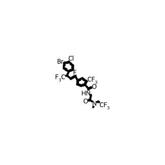 CN(CC(F)(F)F)C(=O)CNC(=O)c1ccc(/C(F)=C/C(c2ccc(Cl)c(Br)c2)C(F)(F)F)cc1C(F)(F)F